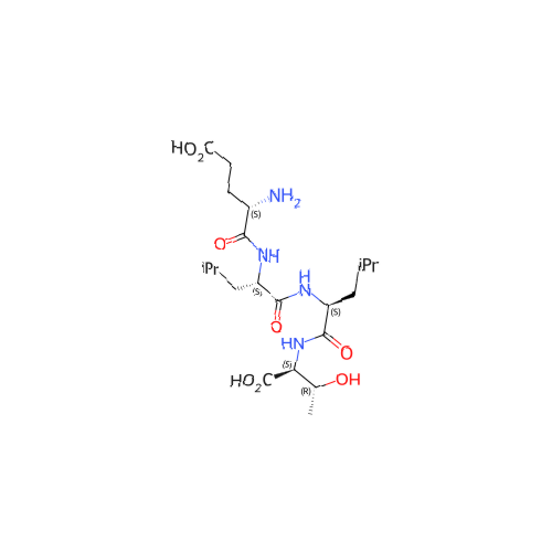 CC(C)C[C@H](NC(=O)[C@H](CC(C)C)NC(=O)[C@@H](N)CCC(=O)O)C(=O)N[C@H](C(=O)O)[C@@H](C)O